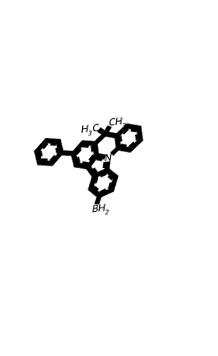 Bc1ccc2c(c1)c1cc(-c3ccccc3)cc3c1n2-c1ccccc1C3(C)C